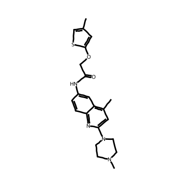 Cc1csc(OCC(=O)Nc2ccc3nc(N4CCN(C)CC4)cc(C)c3c2)c1